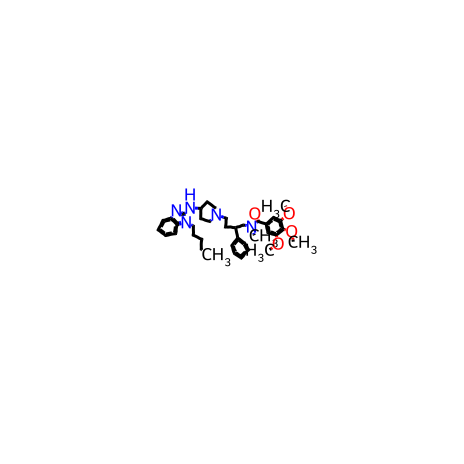 CCCCCn1c(NC2CCN(CCC(CN(C)C(=O)c3cc(OC)c(OC)c(OC)c3)c3ccccc3)CC2)nc2ccccc21